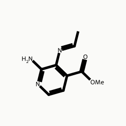 CC=Nc1c(C(=O)OC)ccnc1N